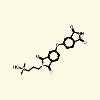 C[Si](C)(O)CCCN1C(=O)c2ccc(Oc3ccc4c(c3)C(=O)NC4=O)cc2C1=O